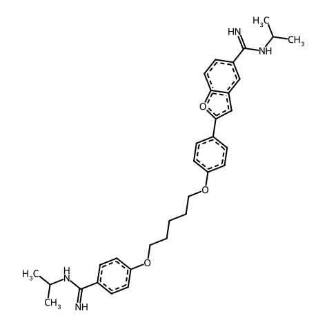 CC(C)NC(=N)c1ccc(OCCCCCOc2ccc(-c3cc4cc(C(=N)NC(C)C)ccc4o3)cc2)cc1